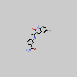 CC(Nc1cccc(C(N)=O)c1)c1cc2cc(Cl)ccc2[nH]c1=O